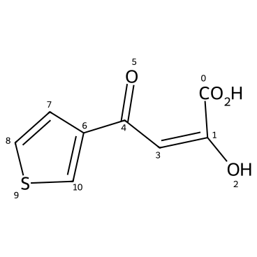 O=C(O)/C(O)=C\C(=O)c1ccsc1